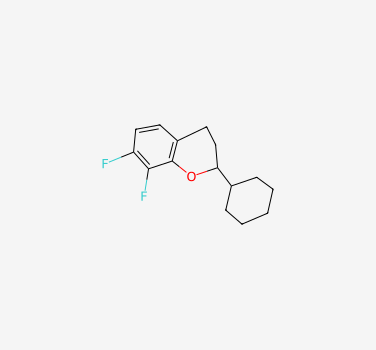 Fc1ccc2c(c1F)OC(C1CCCCC1)CC2